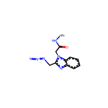 CCCNC(=O)Cn1c(CN=[N+]=[N-])nc2ccccc21